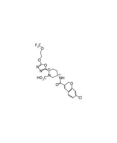 O=C(N[C@H]1CC[C@H](c2nnc(OCCOC(F)(F)F)o2)N(C(=O)O)C1)C1=Cc2ccc(Cl)cc2OC1